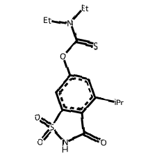 CCN(CC)C(=S)Oc1cc(C(C)C)c2c(c1)S(=O)(=O)NC2=O